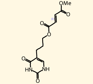 COC(=O)/C=C/C(=O)OCCCc1c[nH]c(=O)[nH]c1=O